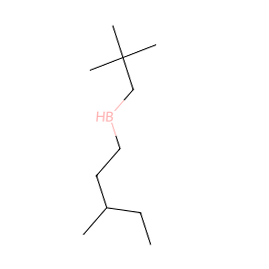 CCC(C)CCBCC(C)(C)C